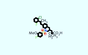 COc1cc(S(=O)(=O)N2CC(CC(C)(C)C(=O)O)Cc3ccc(C=C(C)c4c(F)cccc4Cl)cc32)ccc1F